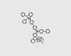 CC1(C)C2=C(C=CCC2)c2ccc(N(c3ccc(-c4ccccc4)cc3)c3ccc(-c4ccc(N5c6ccccc6C(c6ccccc6)C5c5ccccc5)cc4)cc3)cc21